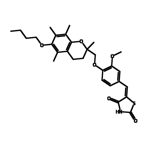 CCCCOc1c(C)c(C)c2c(c1C)CCC(C)(COc1ccc(C=C3SC(=O)NC3=O)cc1OC)O2